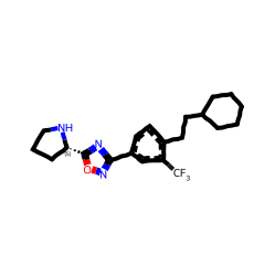 FC(F)(F)c1cc(-c2noc([C@@H]3CCCN3)n2)ccc1CCC1CCCCC1